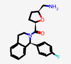 NC[C@@H]1CC[C@H](C(=O)N2CCc3ccccc3[C@@H]2c2ccc(F)cc2)O1